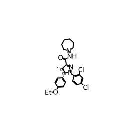 CCOc1ccc([C@@H]2[C@H](C)C(C(=O)NN3CCCCCC3)=NN2c2ccc(Cl)cc2Cl)cc1